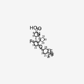 O=C(O)c1cccc(C2=C(c3cc(F)ccc3OCc3ccc(C(F)(F)F)cc3)CCC2)n1